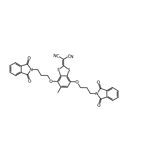 Cc1cc(OCCCN2C(=O)c3ccccc3C2=O)c2c(c1OCCCN1C(=O)c3ccccc3C1=O)SC(=C(C#N)C#N)S2